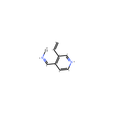 C=Cc1cnccc1/C=N\CC